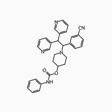 N#Cc1cccc(C(C(c2cccnc2)c2cccnc2)N2CCC(OC(=O)Nc3ccccc3)CC2)c1